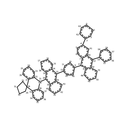 c1ccc(-c2ccc3c(-c4ccc(-c5c6ccccc6c(N6c7ccccc7C7(CCCC7)c7ccccc76)c6ccccc56)cc4)c4ccccc4c(-c4ccccc4)c3c2)cc1